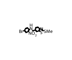 CSc1nc2ccc(CNc3ccc(Br)cc3[N+](=O)[O-])cc2s1